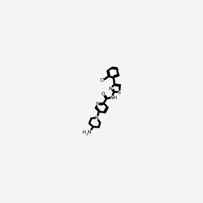 NC1CCN(c2ccc(C(=O)Nc3nc(-c4ccccc4Cl)cs3)nc2)CC1